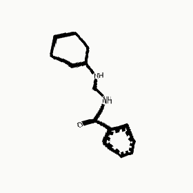 O=C(NCNC1CCCCC1)c1ccccc1